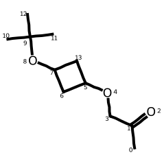 CC(=O)COC1CC(OC(C)(C)C)C1